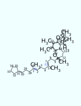 C/C(=C\CC/C(C)=C/CC[C@]1(C)CCc2c(C)c(O[SiH](C)C)c(C)c(C)c2O1)CCC=C1CCCC1